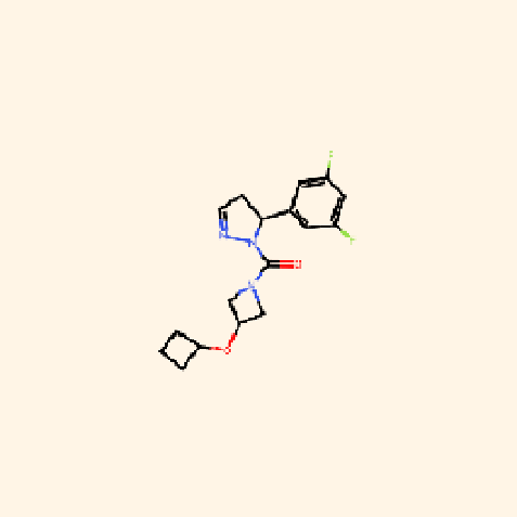 O=C(N1CC(OC2CCC2)C1)N1N=CCC1c1cc(F)cc(F)c1